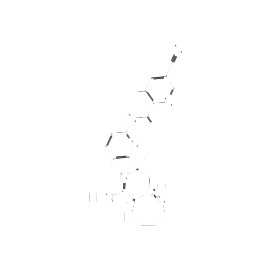 Cc1cc(C#N)cnc1C(=O)Nc1ccc(F)c(C2(C)CS3(=O)=NCCCCC3(C)C(N)=N2)n1